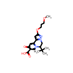 COCCCOc1cc2n(n1)CC(C(C)(C)C)n1cc(C(=O)O)c(=O)cc1-2